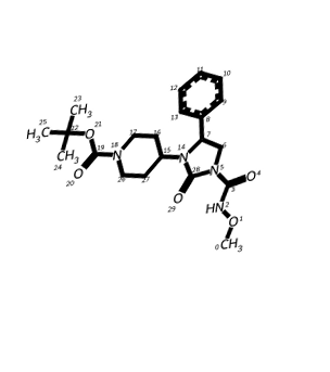 CONC(=O)N1CC(c2ccccc2)N(C2CCN(C(=O)OC(C)(C)C)CC2)C1=O